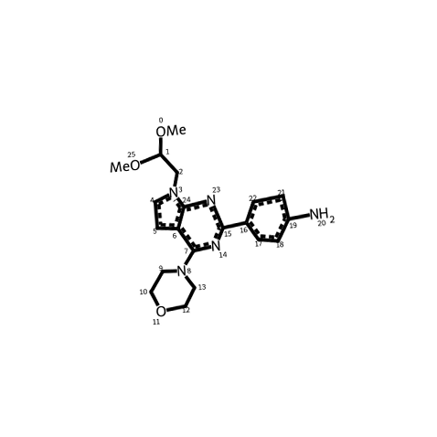 COC(Cn1ccc2c(N3CCOCC3)nc(-c3ccc(N)cc3)nc21)OC